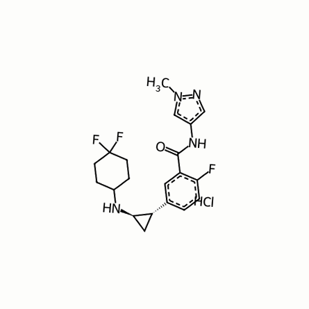 Cl.Cn1cc(NC(=O)c2cc([C@@H]3C[C@H]3NC3CCC(F)(F)CC3)ccc2F)cn1